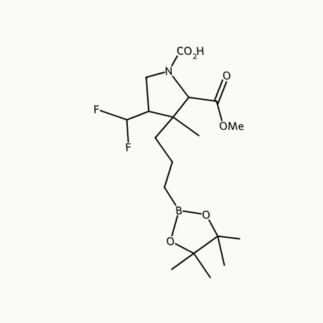 COC(=O)C1N(C(=O)O)CC(C(F)F)C1(C)CCCB1OC(C)(C)C(C)(C)O1